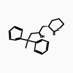 CS(C[C@H](O)C[C@@H]1CCCCN1)(c1ccccc1)c1ccccc1